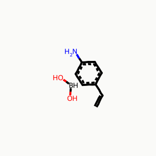 C=Cc1ccc(N)cc1.OBO